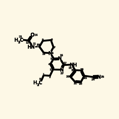 CCCc1cc(N2CCC[C@@H](NC(C)=O)C2)nc(Nc2cccc(C#N)c2)n1